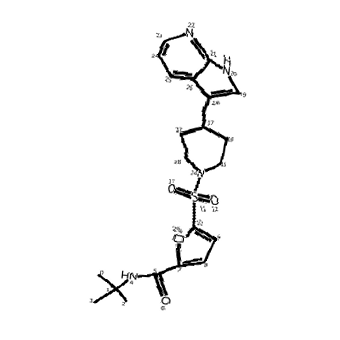 CC(C)(C)NC(=O)c1ccc(S(=O)(=O)N2CCC(c3c[nH]c4ncccc34)CC2)o1